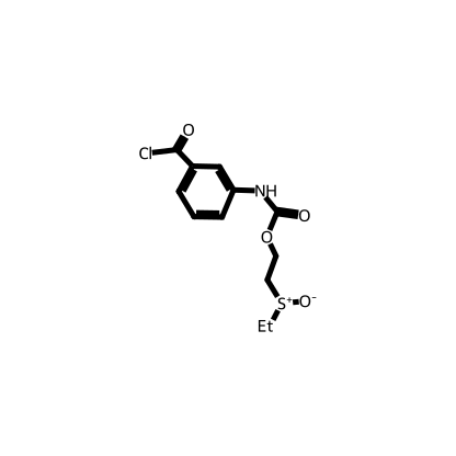 CC[S+]([O-])CCOC(=O)Nc1cccc(C(=O)Cl)c1